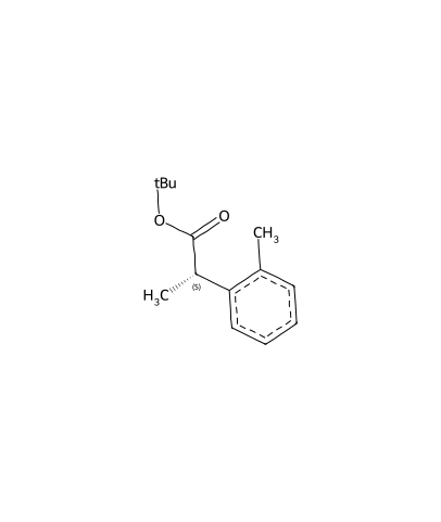 Cc1ccccc1[C@H](C)C(=O)OC(C)(C)C